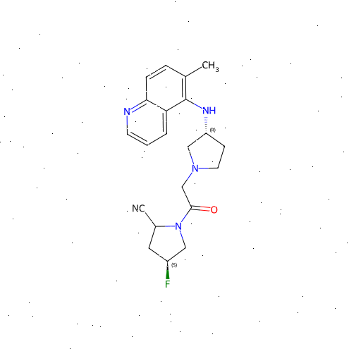 Cc1ccc2ncccc2c1N[C@@H]1CCN(CC(=O)N2C[C@@H](F)CC2C#N)C1